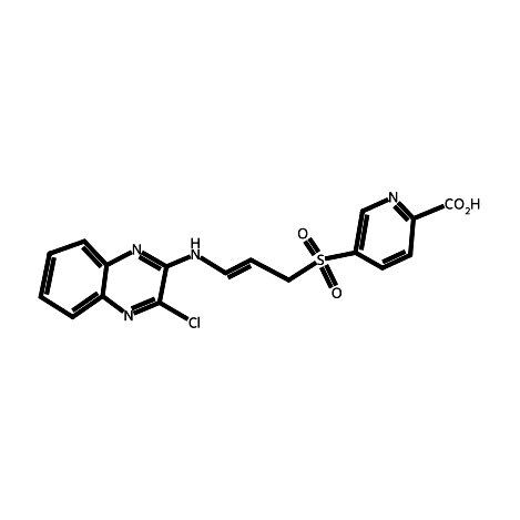 O=C(O)c1ccc(S(=O)(=O)CC=CNc2nc3ccccc3nc2Cl)cn1